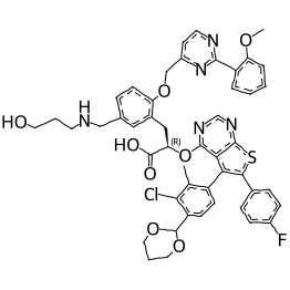 COc1ccccc1-c1nccc(COc2ccc(CNCCCO)cc2C[C@@H](Oc2ncnc3sc(-c4ccc(F)cc4)c(-c4ccc(C5OCCCO5)c(Cl)c4C)c23)C(=O)O)n1